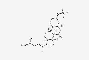 COC(=O)CC[C@@H](C)[C@H]1CC[C@H]2[C@@H]3C(=O)C[C@@H]4C[C@H](O[Si](C)(C)C)CC[C@]4(C)[C@H]3CC[C@]12C